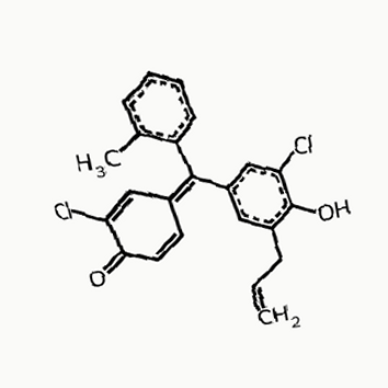 C=CCc1cc(/C(=C2\C=CC(=O)C(Cl)=C2)c2ccccc2C)cc(Cl)c1O